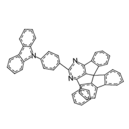 c1ccc(-c2nc(-c3ccc(-n4c5ccccc5c5ccccc54)cc3)nc3c2C2(c4ccccc4-c4ccccc42)c2ccccc2-3)cc1